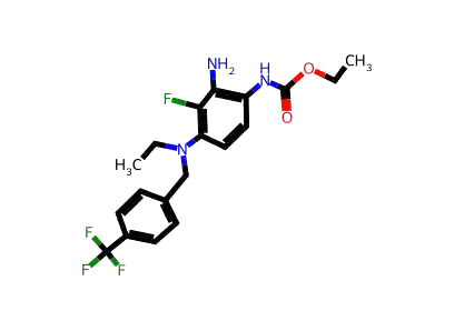 CCOC(=O)Nc1ccc(N(CC)Cc2ccc(C(F)(F)F)cc2)c(F)c1N